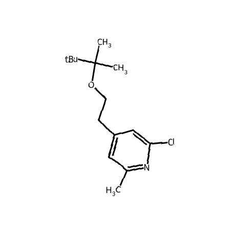 Cc1cc(CCOC(C)(C)C(C)(C)C)cc(Cl)n1